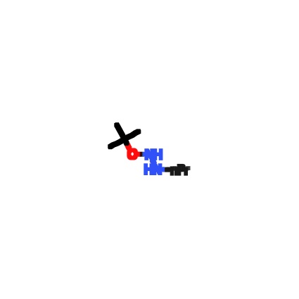 CCCNNOC(C)(C)C